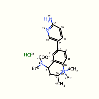 CCN(C(=O)[O-])C1C[C@H](C)[N@+](C)(C(C)=O)c2ccc(-c3ccc(N)nc3)cc21.Cl